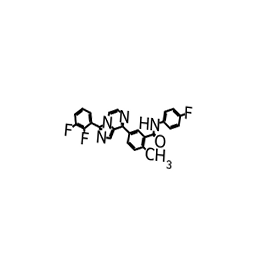 Cc1ccc(-c2nccn3c(-c4cccc(F)c4F)ncc23)cc1C(=O)Nc1ccc(F)cc1